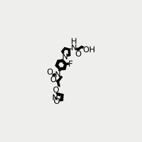 O=C(CO)N[C@H]1CCN(c2ccc(N3CC(COc4ccon4)OC3=O)cc2F)C1